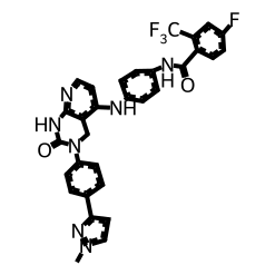 Cn1ccc(-c2ccc(N3Cc4c(Nc5ccc(NC(=O)c6ccc(F)cc6C(F)(F)F)cc5)ccnc4NC3=O)cc2)n1